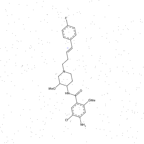 COc1cc(N)c(Cl)cc1C(=O)NC1CCN(CC/C=C/c2ccc(F)cc2)CC1OC